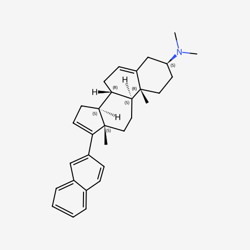 CN(C)[C@H]1CC[C@@]2(C)C(=CC[C@@H]3[C@@H]2CC[C@]2(C)C(c4ccc5ccccc5c4)=CC[C@@H]32)C1